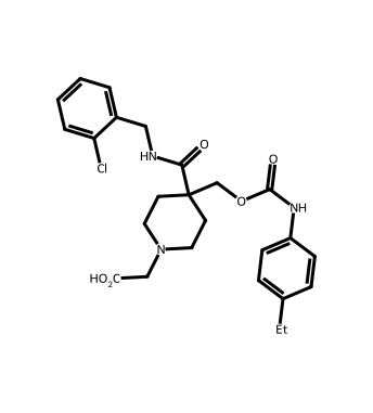 CCc1ccc(NC(=O)OCC2(C(=O)NCc3ccccc3Cl)CCN(CC(=O)O)CC2)cc1